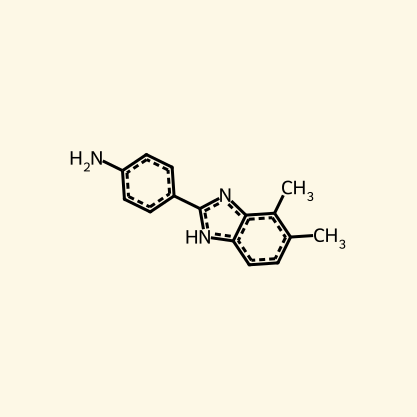 Cc1ccc2[nH]c(-c3ccc(N)cc3)nc2c1C